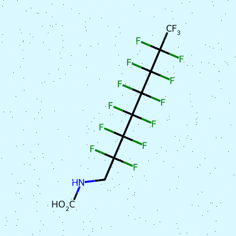 O=C(O)NCC(F)(F)C(F)(F)C(F)(F)C(F)(F)C(F)(F)C(F)(F)C(F)(F)F